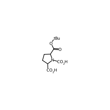 CC(C)(C)OC(=O)C1CCC(C(=O)O)N1C(=O)O